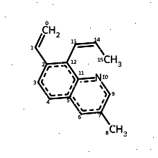 C=Cc1ccc2cc(C)cnc2c1/C=C\C